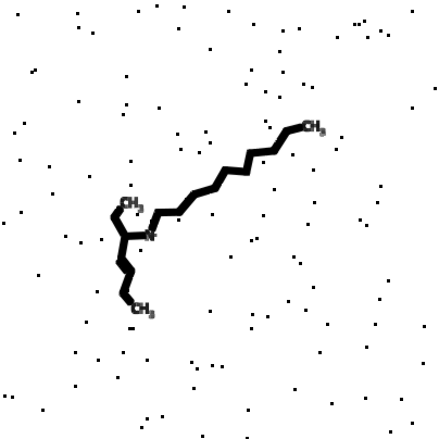 CCC=CC(CC)[N]CCCCCCCCCC